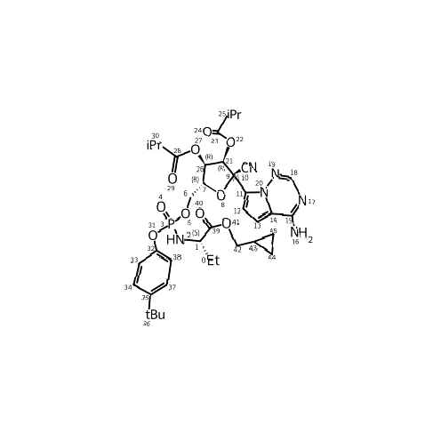 CC[C@H](NP(=O)(OC[C@H]1O[C@@](C#N)(c2ccc3c(N)ncnn23)[C@H](OC(=O)C(C)C)[C@@H]1OC(=O)C(C)C)Oc1ccc(C(C)(C)C)cc1)C(=O)OCC1CC1